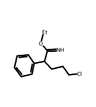 CCOC(=N)C(CCCCl)c1ccccc1